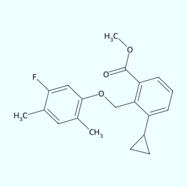 COC(=O)c1cccc(C2CC2)c1COc1cc(F)c(C)cc1C